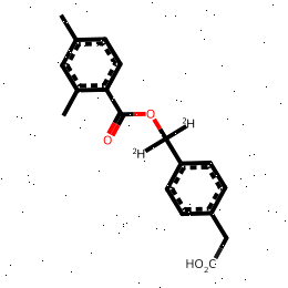 [2H]C([2H])(OC(=O)c1ccc(C)cc1C)c1ccc(CC(=O)O)cc1